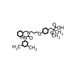 COC(C)(Cc1ccc(OCCCN(Cc2ccccc2)C(=O)Nc2cc(C)cc(C)c2)cc1)C(=O)O